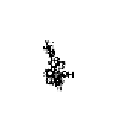 COC(=O)c1c(CCCO[Si](C)(C)C(C)(C)C)c2ccc(Cl)c(-c3c(CO)nn(C)c3C)c2n1C